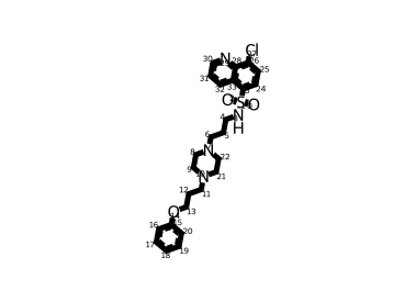 O=S(=O)(NCCCN1CCN(CCCOc2ccccc2)CC1)c1ccc(Cl)c2ncccc12